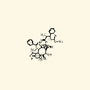 CC(=O)O[C@@]12CO[C@@H]1C[C@H](O)[C@@]1(C)C(=O)[C@H](O)C3=C(C)[C@@H](OC(=O)[C@H](C)C(NC(=O)OC(C)(C)C)c4ccccc4)C[C@@](O)([C@@H](OC(=O)c4ccccc4)[C@H]21)C3(C)C